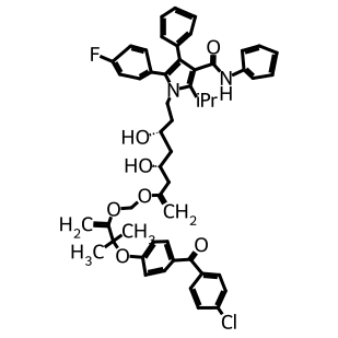 C=C(C[C@H](O)C[C@H](O)CCn1c(-c2ccc(F)cc2)c(-c2ccccc2)c(C(=O)Nc2ccccc2)c1C(C)C)OCOC(=C)C(C)(C)Oc1ccc(C(=O)c2ccc(Cl)cc2)cc1